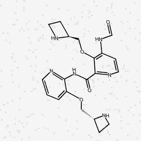 O=CNc1ccnc(C(=O)Nc2ncccc2OC[C@H]2CCN2)c1OC[C@@H]1CCN1